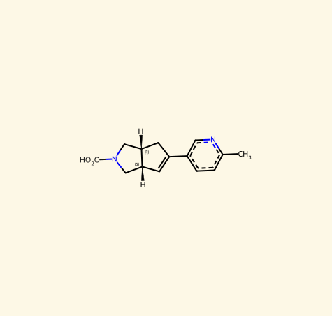 Cc1ccc(C2=C[C@@H]3CN(C(=O)O)C[C@@H]3C2)cn1